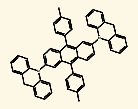 Cc1ccc(-c2c3ccc(N4c5ccccc5Cc5ccccc54)cc3c(-c3ccc(C)cc3)c3ccc(N4c5ccccc5Cc5ccccc54)cc23)cc1